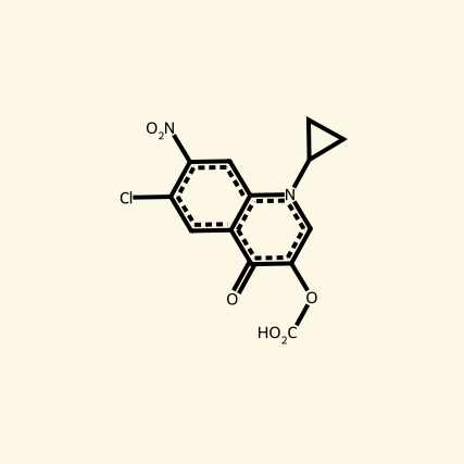 O=C(O)Oc1cn(C2CC2)c2cc([N+](=O)[O-])c(Cl)cc2c1=O